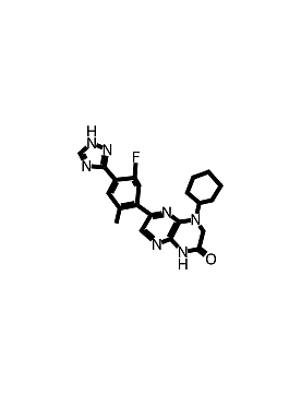 Cc1cc(-c2nc[nH]n2)c(F)cc1-c1cnc2c(n1)N(C1CCCCC1)CC(=O)N2